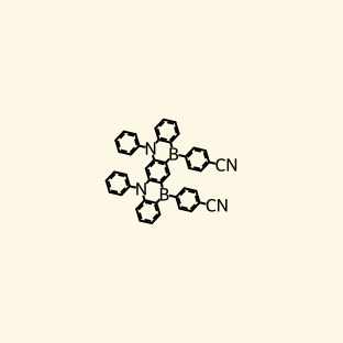 N#Cc1ccc(B2c3ccccc3N(c3ccccc3)c3cc4c(cc32)B(c2ccc(C#N)cc2)c2ccccc2N4c2ccccc2)cc1